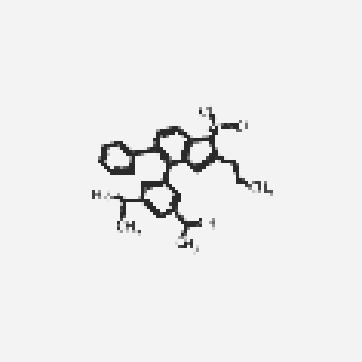 CCCC1=Cc2c(ccc(-c3ccccc3)c2-c2cc(C(C)C)cc(C(C)C)c2)[CH]1[Zr]([Cl])[Cl]